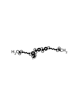 C=CC(=O)OCCCCCCOc1ccc(C(=O)Oc2ccc(C(=O)Oc3ccc(OCCCCCCOC(=O)C=C)c4c3OC(F)(F)O4)cc2)cc1